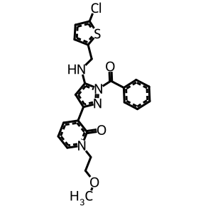 COCCn1cccc(-c2cc(NCc3ccc(Cl)s3)n(C(=O)c3ccccc3)n2)c1=O